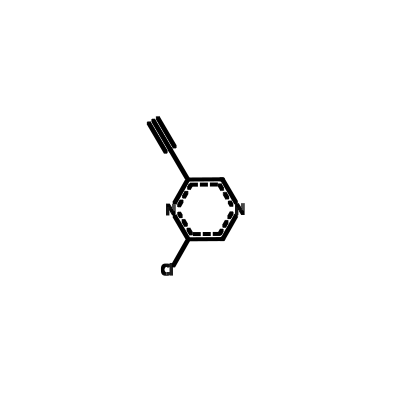 C#Cc1cncc(Cl)n1